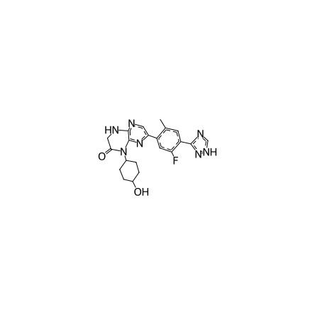 Cc1cc(-c2nc[nH]n2)c(F)cc1-c1cnc2c(n1)N(C1CCC(O)CC1)C(=O)CN2